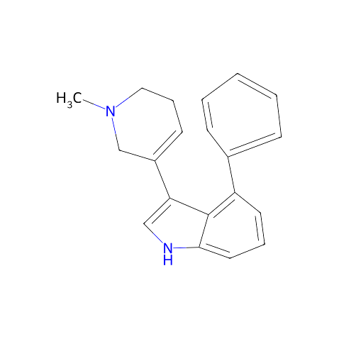 CN1CCC=C(c2c[nH]c3cccc(-c4ccccc4)c23)C1